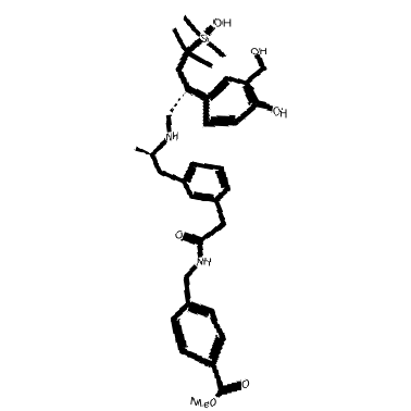 COC(=O)c1ccc(CNC(=O)Cc2cccc(C[C@@H](C)NC[C@H](CC(C)(C)[Si](C)(C)O)c3ccc(O)c(CO)c3)c2)cc1